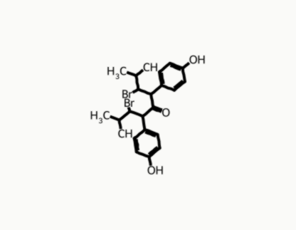 CC(C)C(Br)C(C(=O)C(c1ccc(O)cc1)C(Br)C(C)C)c1ccc(O)cc1